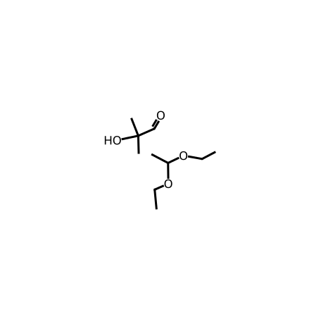 CC(C)(O)C=O.CCOC(C)OCC